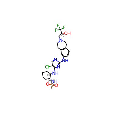 CS(=O)(=O)N[C@@H]1CCCC[C@H]1Nc1nc(Nc2ccc3c(c2)CCN(C[C@H](O)C(F)(F)F)CC3)ncc1Cl